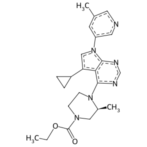 CCOC(=O)N1CCN(c2ncnc3c2c(C2CC2)cn3-c2cncc(C)c2)[C@@H](C)C1